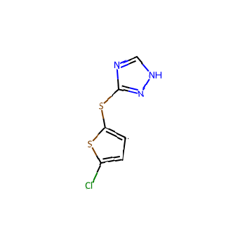 Clc1c[c]c(Sc2nc[nH]n2)s1